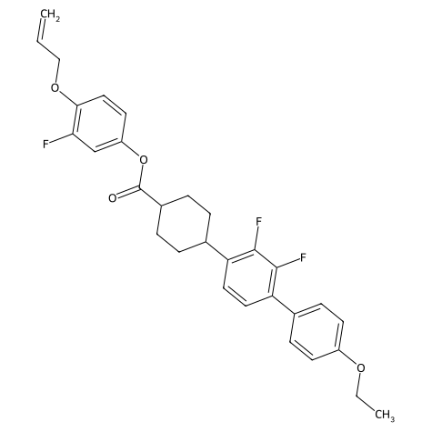 C=CCOc1ccc(OC(=O)C2CCC(c3ccc(-c4ccc(OCC)cc4)c(F)c3F)CC2)cc1F